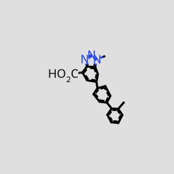 Cc1ccccc1-c1ccc(-c2cc(C(=O)O)c3nnn(C)c3c2)cc1